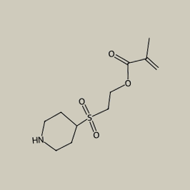 C=C(C)C(=O)OCCS(=O)(=O)C1CCNCC1